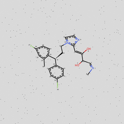 C/N=C\C(O)/C(O)=C/c1nccn1CC[C@@H](c1ccc(F)cc1)c1ccc(F)cc1C